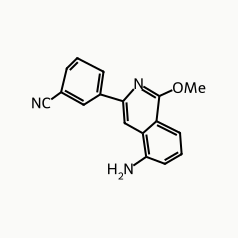 COc1nc(-c2cccc(C#N)c2)cc2c(N)cccc12